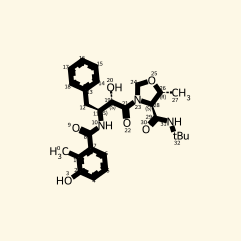 Cc1c(O)cccc1C(=O)N[C@@H](Cc1ccccc1)[C@H](O)C(=O)N1CO[C@H](C)[C@H]1C(=O)NC(C)(C)C